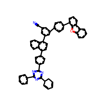 N#Cc1cc(-c2ccc(-c3cccc4c3oc3ccccc34)cc2)cc(-c2ccc(-c3ccc(-c4nc(-c5ccccc5)nc(C5C=CC=CC5)n4)cc3)c3ccccc23)c1